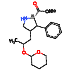 COC(=O)[C@H]1NCC(CC(C)OC2CCCCO2)C1c1ccccc1